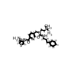 CN(C)CCN(Cc1ccc(C(=O)Nc2cscc2N)nc1)C(=O)NCCCc1ccccc1